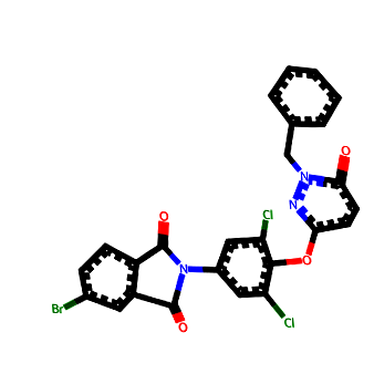 O=C1c2ccc(Br)cc2C(=O)N1c1cc(Cl)c(Oc2ccc(=O)n(Cc3ccccc3)n2)c(Cl)c1